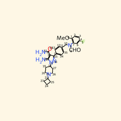 COc1ccc(F)cc1N(C=O)Cc1ccc(-c2nn(C3CCN(C4CCC4)CC3)c(N)c2C(N)=O)cc1